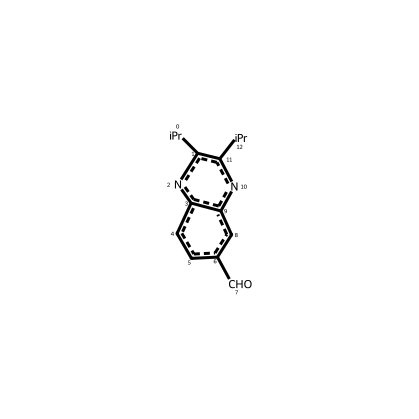 CC(C)c1nc2ccc(C=O)cc2nc1C(C)C